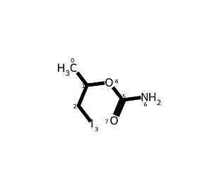 CC(CI)OC(N)=O